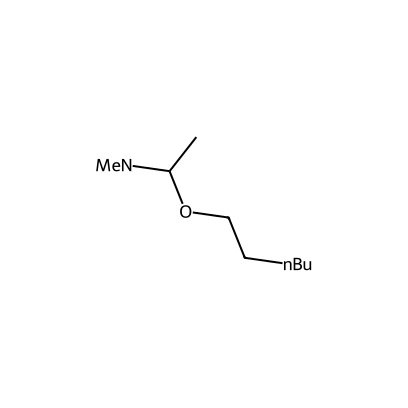 CCCCCCOC(C)NC